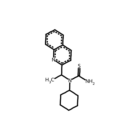 CC(c1ccc2ccccc2n1)N(C(N)=S)C1CCCCC1